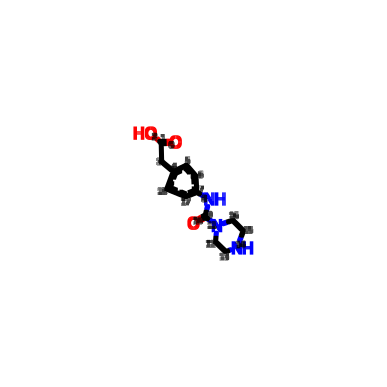 O=C(O)Cc1ccc(NC(=O)N2CCNCC2)cc1